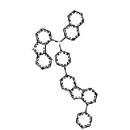 c1ccc(-c2cccc3c2oc2ccc(-c4ccc(N(c5ccc6ccccc6c5)c5cccc6sc7ccccc7c56)cc4)cc23)cc1